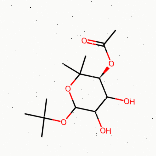 CC(=O)O[C@H]1C(O)C(O)C(OC(C)(C)C)OC1(C)C